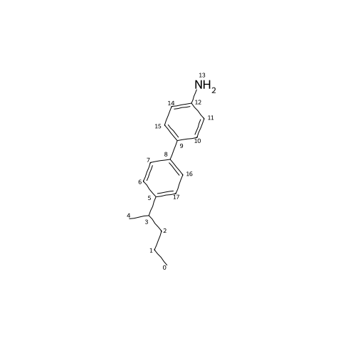 CCCC(C)c1ccc(-c2ccc(N)cc2)cc1